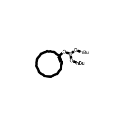 CCCCOB(OCCCC)OC1=CCCCCCCCCCC1